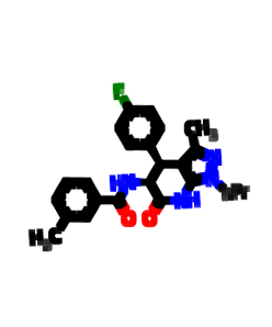 CCCn1nc(C)c2c1NC(=O)[C@@H](NC(=O)c1cccc(C)c1)[C@H]2c1ccc(F)cc1